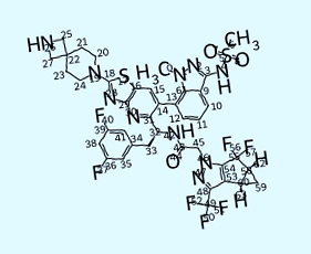 Cn1nc(NS(C)(=O)=O)c2cccc(-c3cc4sc(N5CCC6(CC5)CNC6)nc4nc3[C@H](Cc3cc(F)cc(F)c3)NC(=O)Cn3nc(C(F)(F)F)c4c3C(F)(F)[C@@H]3C[C@H]43)c21